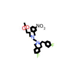 CC1OC(CCCN(CCN2Cc3ccc(F)cc3CC2Cc2ccc(F)cc2)Cc2cccc([N+](=O)[O-])c2)O1